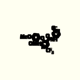 COc1ccc(Oc2nnc(C(F)(F)F)cc2C(=O)Nc2ccn[n+]([O-])c2)c(OC)c1